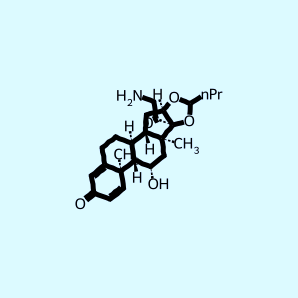 CCCC1O[C@@H]2C[C@H]3[C@@H]4CCC5=CC(=O)C=C[C@]5(C)[C@H]4[C@@H](O)C[C@]3(C)[C@]2(C(=O)CN)O1